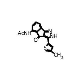 CC(=O)Nc1cccc2c1C(=O)c1c-2n[nH]c1-c1cc(C)cs1